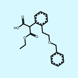 CCOC(=O)C(C(=O)O)c1ccccc1CCOCc1ccccc1